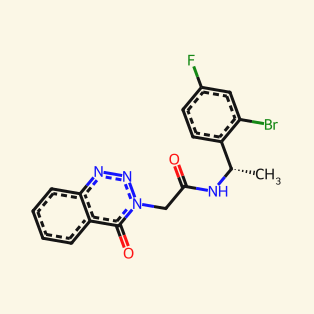 C[C@H](NC(=O)Cn1nnc2ccccc2c1=O)c1ccc(F)cc1Br